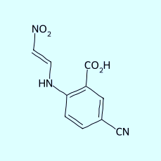 N#Cc1ccc(NC=C[N+](=O)[O-])c(C(=O)O)c1